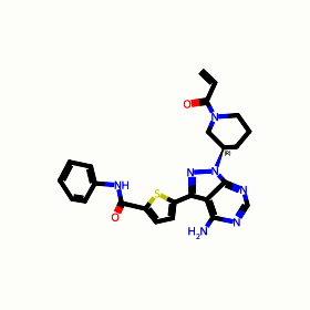 C=CC(=O)N1CCC[C@@H](n2nc(-c3ccc(C(=O)Nc4ccccc4)s3)c3c(N)ncnc32)C1